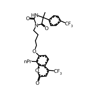 CCCc1c(OCCCCN2C(=O)NC(C)(c3ccc(C(F)(F)F)cc3)C2=O)ccc2c(C(F)(F)F)cc(=O)oc12